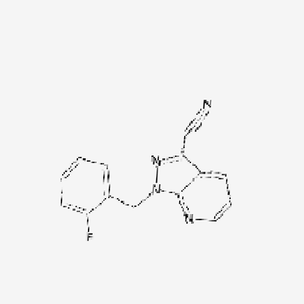 N#Cc1nn(Cc2ccccc2F)c2ncccc12